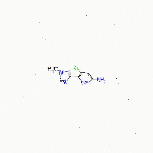 Cn1cnc(-c2ncc(N)cc2Cl)c1